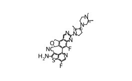 C[C@H]1CN([C@H]2CCN(c3ncc4c5c(c(-c6ncc(F)c7sc(N)c(C#N)c67)c(F)c4n3)COC5)[C@H]2C)CCN1C